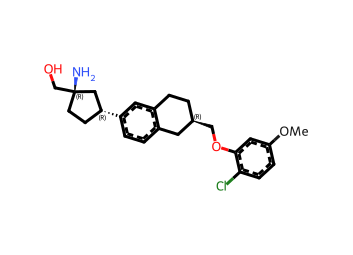 COc1ccc(Cl)c(OC[C@@H]2CCc3cc([C@@H]4CC[C@](N)(CO)C4)ccc3C2)c1